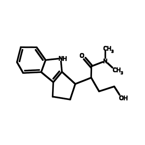 CN(C)C(=O)C(CCO)C1CCc2c1[nH]c1ccccc21